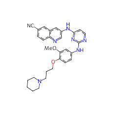 COc1cc(Nc2nccc(Nc3cnc4ccc(C#N)cc4c3)n2)ccc1OCCCN1CCCCC1